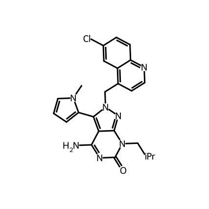 CC(C)Cn1c(=O)nc(N)c2c(-c3cccn3C)n(Cc3ccnc4ccc(Cl)cc34)nc21